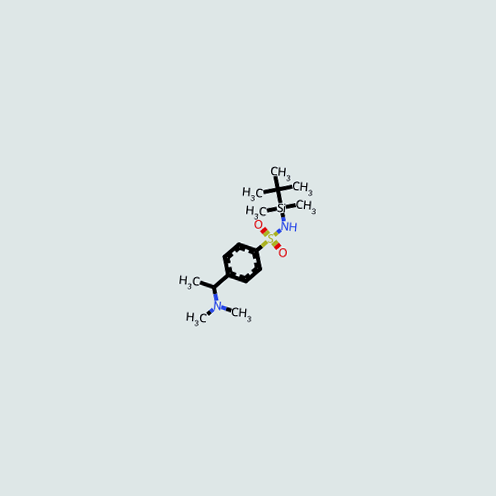 CC(c1ccc(S(=O)(=O)N[Si](C)(C)C(C)(C)C)cc1)N(C)C